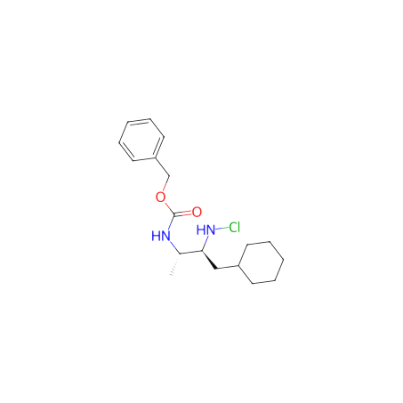 C[C@H](NC(=O)OCc1ccccc1)[C@H](CC1CCCCC1)NCl